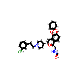 O=CNC[C@H]1O[C@@H](C2CCN(CCc3cccc(Cl)c3)CC2)Cc2c1ccc1c2OC2(CCCCC2)O1